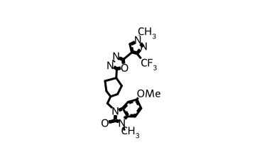 COc1ccc2c(c1)n(CC1CCC(c3nnc(-c4cn(C)nc4C(F)(F)F)o3)CC1)c(=O)n2C